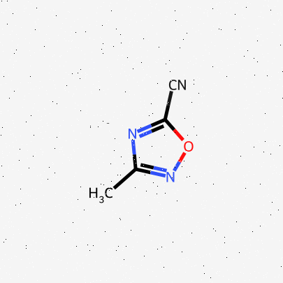 Cc1noc(C#N)n1